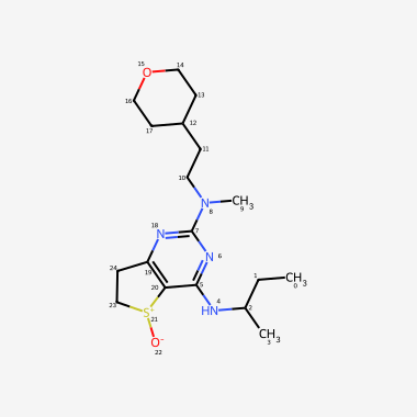 CCC(C)Nc1nc(N(C)CCC2CCOCC2)nc2c1[S+]([O-])CC2